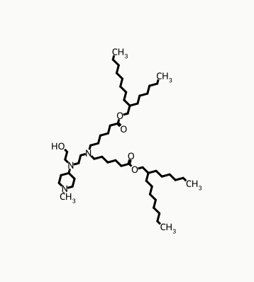 CCCCCCCCC(CCCCCC)COC(=O)CCCCCN(CCCCCC(=O)OCC(CCCCCC)CCCCCCCC)CCN(CCO)C1CCN(C)CC1